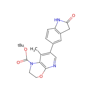 Cc1c(-c2ccc3c(c2)CC(=O)N3)cnc2c1N(C(=O)OC(C)(C)C)CCO2